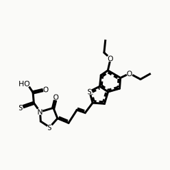 CCOc1cc2cc(C=CC=C3SCN(C(=S)C(=O)O)C3=O)sc2cc1OCC